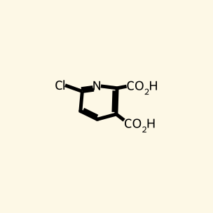 O=C(O)c1ccc(Cl)nc1C(=O)O